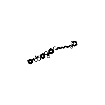 O=C(OCc1ccccc1)Oc1ccc(OC(=O)c2ccc(OCCCCCCCCOC3CCCCO3)cc2)cc1